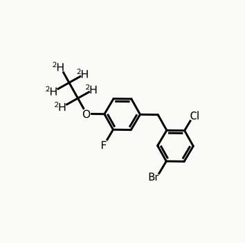 [2H]C([2H])([2H])C([2H])([2H])Oc1ccc(Cc2cc(Br)ccc2Cl)cc1F